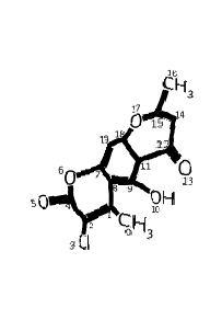 Cc1c(Cl)c(=O)oc2c1=C(O)C1C(=O)CC(C)OC1C=2